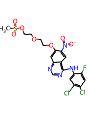 CS(=O)(=O)OCCOCCOc1cc2ncnc(Nc3cc(Cl)c(Cl)cc3F)c2cc1[N+](=O)[O-]